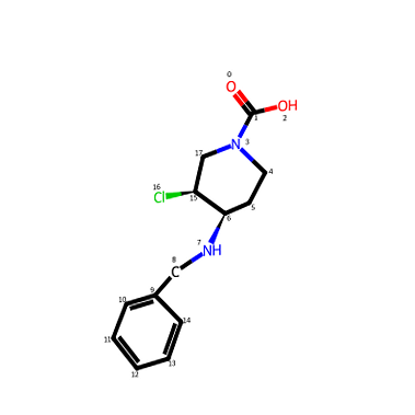 O=C(O)N1CC[C@@H](NCc2ccccc2)[C@@H](Cl)C1